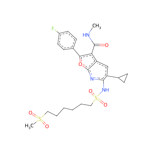 CNC(=O)c1c(-c2ccc(F)cc2)oc2nc(NS(=O)(=O)CCCCCCS(C)(=O)=O)c(C3CC3)cc12